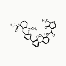 COc1nc(-c2cccc(-c3cccc(NC(=O)c4ccnn(C)c4=O)c3Cl)c2Cl)ccc1CN1CCCC[C@@H]1C(C)=O